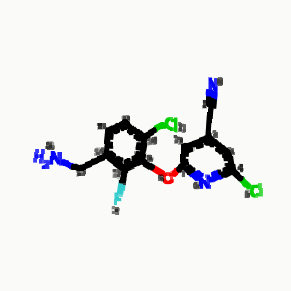 N#Cc1cc(Cl)nc(Oc2c(Cl)ccc(CN)c2F)c1